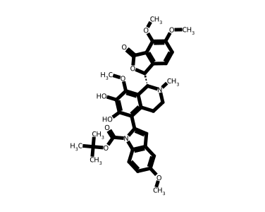 COc1ccc2c(c1)cc(-c1c(O)c(O)c(OC)c3c1CCN(C)[C@H]3C1OC(=O)c3c1ccc(OC)c3OC)n2C(=O)OC(C)(C)C